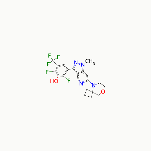 Cn1nc(-c2cc(C(F)(F)F)c(F)c(O)c2F)c2cnc(N3CCOCC34CCC4)cc21